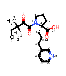 CCC(C)(C)C(=O)C(=O)N1CCC[C@@]1(CCCc1cccnc1)C(=O)O